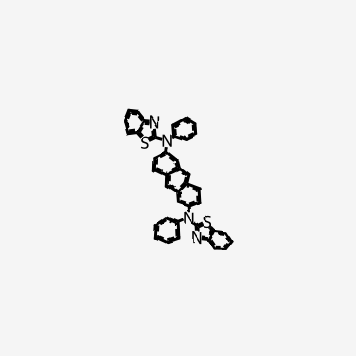 c1ccc(N(c2ccc3cc4cc(N(c5ccccc5)c5nc6ccccc6s5)ccc4cc3c2)c2nc3ccccc3s2)cc1